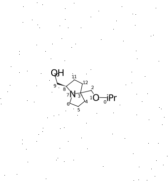 CC(C)OCC12CCCN1[C@@H](CO)CC2